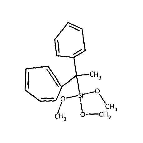 CO[Si](OC)(OC)C(C)(c1ccccc1)c1ccccc1